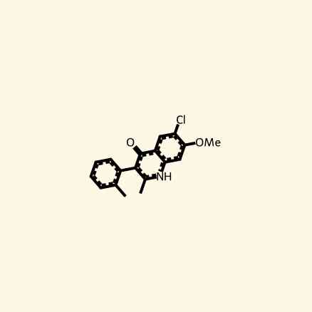 COc1cc2[nH]c(C)c(-c3ccccc3C)c(=O)c2cc1Cl